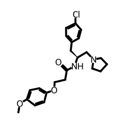 COc1ccc(OCCC(=O)N[C@@H](Cc2ccc(Cl)cc2)CN2CCCC2)cc1